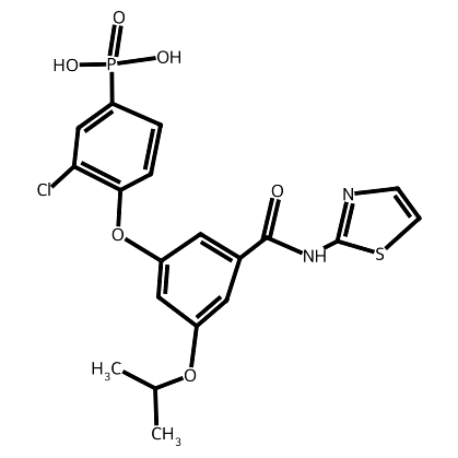 CC(C)Oc1cc(Oc2ccc(P(=O)(O)O)cc2Cl)cc(C(=O)Nc2nccs2)c1